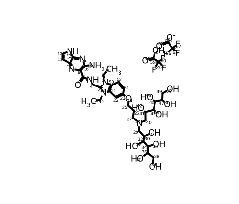 CCn1c(CNC(=O)c2nc3cc[nH]c3nc2N)[n+](CC)c2cc(OCCCN(CC(O)C(O)C(O)C(O)CO)CC(O)C(O)C(O)C(O)CO)ccc21.O=C(O)C(F)(F)F.O=C([O-])C(F)(F)F